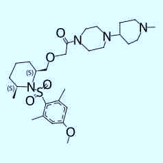 COc1cc(C)c(S(=O)(=O)N2[C@H](COCC(=O)N3CCN(C4CCN(C)CC4)CC3)CCC[C@@H]2C)c(C)c1